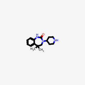 CC1(C)CN(C2CCNCC2)C(=O)Nc2ccccc21